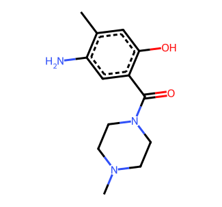 Cc1cc(O)c(C(=O)N2CCN(C)CC2)cc1N